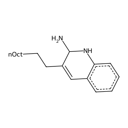 CCCCCCCCCCC1=Cc2ccccc2NC1N